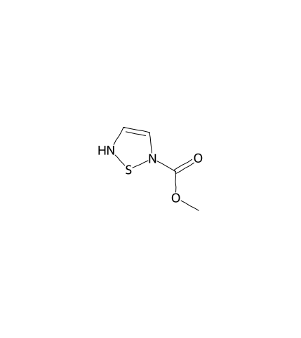 COC(=O)N1C=CNS1